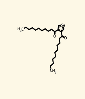 CCCCCCCCCCC(=O)c1c[se]cc1C(=O)CCCCCCCCCC